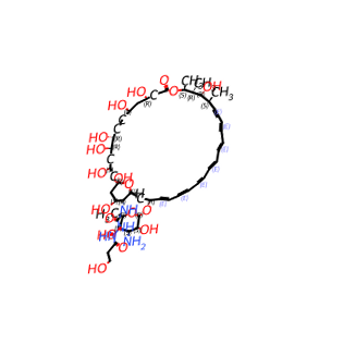 C[C@@H]1[C@H](O)[C@@H](C)/C=C/C=C/C=C/C=C/C=C/C=C/C=C/[C@H](O[C@@H]2O[C@H](C)[C@@H](O)[C@H](N)[C@@H]2O)C[C@@H]2O[C@](O)(C[C@@H](O)C[C@@H](O)[C@H](O)CC[C@@H](O)C[C@@H](O)CC(=O)O[C@H]1C)C[C@H](O)[C@H]2NC(=O)NNC(=O)CCO